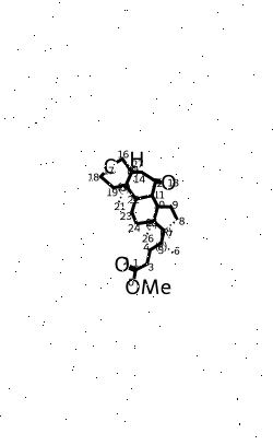 COC(=O)CC[C@@H](C)[C@H]1CCC2C3C(=O)C[C@@H]4CCCC[C@]4(C)C3CC[C@@]21C